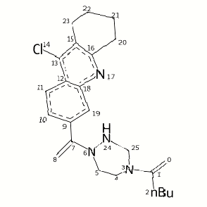 C=C(CCCC)N1CCN(C(=C)c2ccc3c(Cl)c4c(nc3c2)CCCC4)NC1